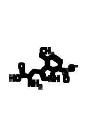 C=Cc1ccc([N+](=O)[O-])c2[nH]cc(CC(N)C(=O)O)c12